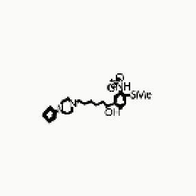 CSc1ccc(C(O)CCCCCN2CCN(c3ccccc3)CC2)cc1NS(C)(=O)=O